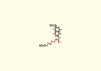 COCCOCCOC(=O)Cc1ccc2cc(OC)ccc2c1